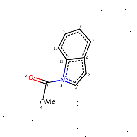 COC(=O)n1[c]cc2ccccc21